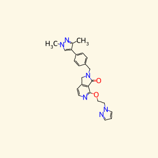 Cc1nn(C)cc1-c1ccc(CN2Cc3ccnc(OCCn4cccn4)c3C2=O)cc1